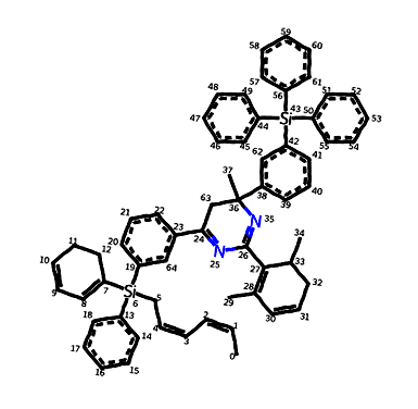 C/C=C\C=C/C[Si](C1=CC=CCC1)(c1ccccc1)c1cccc(C2=NC(C3=C(C)C=CCC3C)=NC(C)(c3cccc([Si](c4ccccc4)(c4ccccc4)c4ccccc4)c3)C2)c1